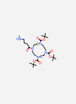 CNCCCC(=O)N1CCN(C(=O)OC(C)(C)C)CCN(C(=O)OC(C)(C)C)CCN(C(=O)OC(C)(C)C)CC1